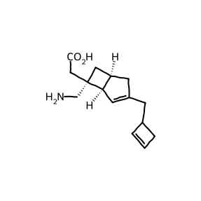 NC[C@]1(CC(=O)O)C[C@H]2CC(CC3C=CC3)=C[C@H]21